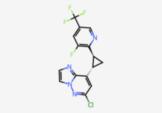 Fc1cc(C(F)(F)F)cnc1[C@H]1C[C@@H]1c1cc(Cl)nn2ccnc12